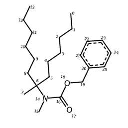 CCCCCCC(C)(CCCCCC)N(C)C(=O)OCc1ccccc1